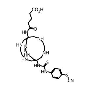 N#CSc1ccc(NC(=S)NC23CNCCNCC(NC(=O)CCCC(=O)O)(CNCCNC2)CNCCNC3)cc1